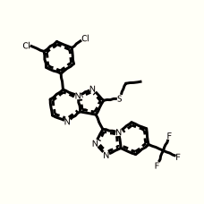 CCSc1nn2c(-c3cc(Cl)cc(Cl)c3)ccnc2c1-c1nnc2cc(C(F)(F)F)ccn12